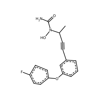 CC(C#Cc1cccc(Oc2ccc(F)cc2)c1)N(O)C(N)=O